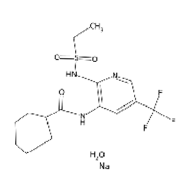 CCS(=O)(=O)Nc1ncc(C(F)(F)F)cc1NC(=O)C1CCCCC1.O.[Na]